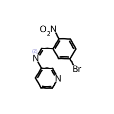 O=[N+]([O-])c1ccc(Br)cc1/C=N\c1cccnc1